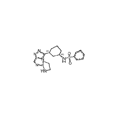 O=S(=O)(N[C@@H]1CCC[C@H](c2nnc3cnc4c(n23)CCN4)C1)c1ccccc1